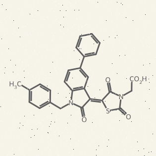 Cc1ccc(CN2C(=O)/C(=C3\SC(=O)N(CC(=O)O)C3=O)c3cc(-c4ccccc4)ccc32)cc1